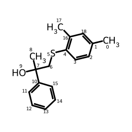 Cc1ccc(SCC(C)(O)c2ccccc2)c(C)c1